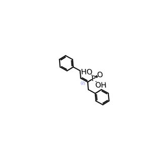 O=P(O)(O)/C(=C\Cc1ccccc1)Cc1ccccc1